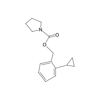 O=C(OCc1ccccc1C1CC1)N1CCCC1